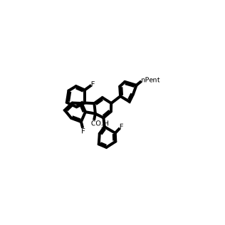 CCCCCc1ccc(C2C=C(c3ccccc3F)C(C(=O)O)(c3ccccc3F)C(c3ccccc3F)=C2)cc1